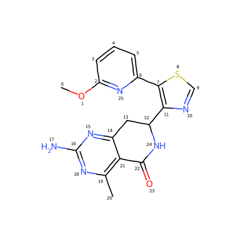 COc1cccc(-c2scnc2C2Cc3nc(N)nc(C)c3C(=O)N2)n1